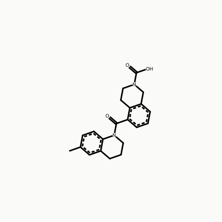 Cc1ccc2c(c1)CCCN2C(=O)c1cccc2c1CCN(C(=O)O)C2